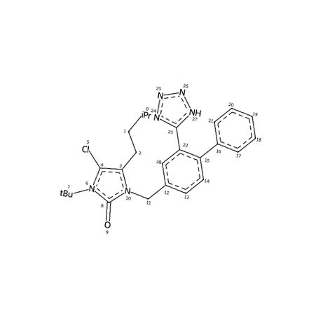 CC(C)CCc1c(Cl)n(C(C)(C)C)c(=O)n1Cc1ccc(-c2ccccc2)c(-c2nnn[nH]2)c1